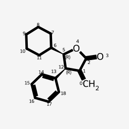 C=C1C(=O)O[C@H](C2CCCCC2)[C@@H]1c1ccccc1